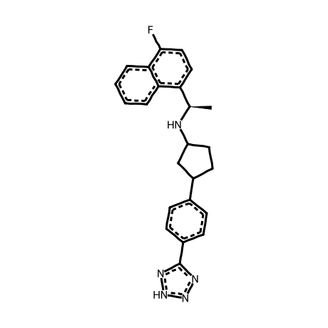 C[C@@H](NC1CCC(c2ccc(-c3nn[nH]n3)cc2)C1)c1ccc(F)c2ccccc12